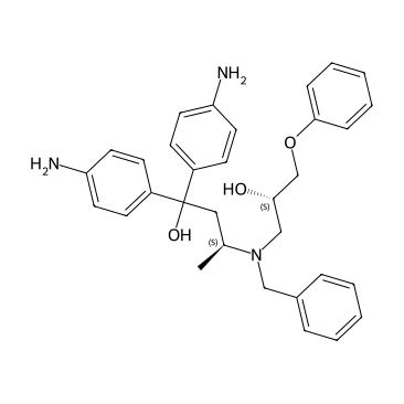 C[C@@H](CC(O)(c1ccc(N)cc1)c1ccc(N)cc1)N(Cc1ccccc1)C[C@H](O)COc1ccccc1